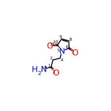 NC(=O)CCN1C(=O)C=CC1=O